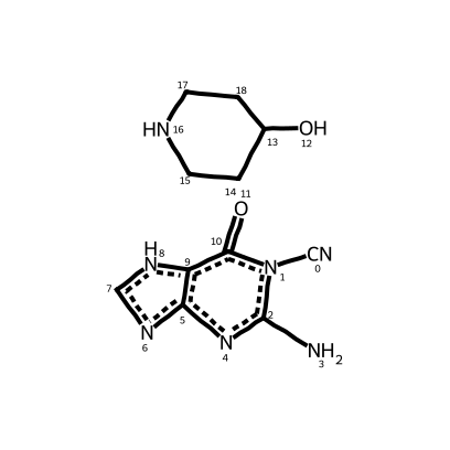 N#Cn1c(N)nc2nc[nH]c2c1=O.OC1CCNCC1